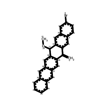 C=C1c2cc3ccc(Br)cc3cc2C(OC)c2cc3cc4ccccc4cc3cc21